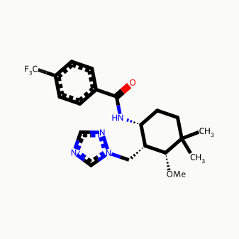 CO[C@@H]1[C@H](Cn2cncn2)[C@H](NC(=O)c2ccc(C(F)(F)F)cc2)CCC1(C)C